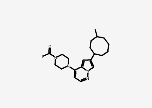 CC1CCCCC(c2cc3c(N4CCN(C(=O)I)CC4)ccnn3c2)CC1